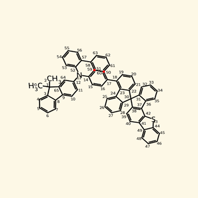 CC1(C)c2ccccc2-c2ccc(N(c3ccc(-c4cccc5c4-c4ccccc4C54c5ccccc5-c5c4ccc4c5sc5ccccc54)cc3)c3ccccc3-c3ccccc3)cc21